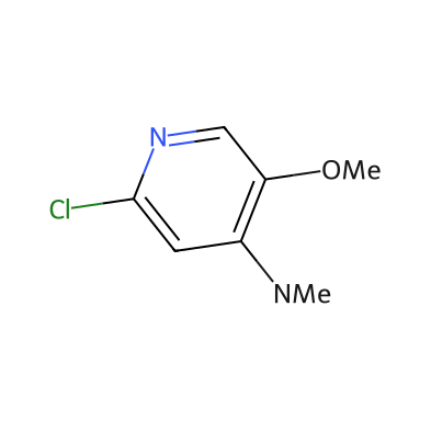 CNc1cc(Cl)ncc1OC